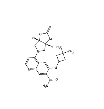 CC1(C)CC(Oc2cc3c(N4C[C@@H]5OC(=O)N[C@@H]5C4)ccnc3cc2C(N)=O)C1